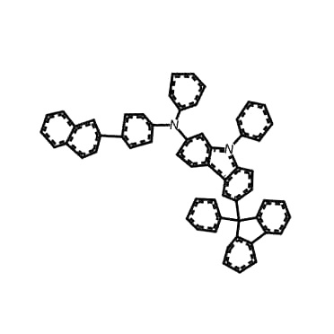 c1ccc(N(c2ccc(-c3ccc4ccccc4c3)cc2)c2ccc3c4cc(C5(c6ccccc6)c6ccccc6-c6ccccc65)ccc4n(-c4ccccc4)c3c2)cc1